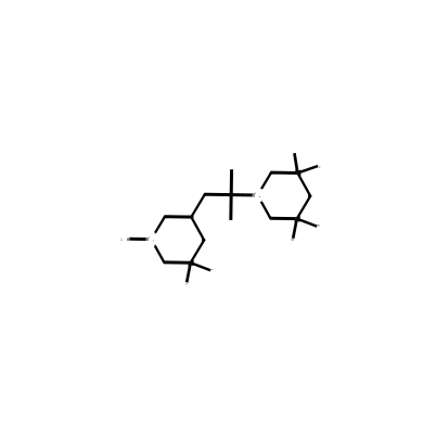 CC(C)(C)N1CC(CC(C)(C)N2CC(F)(F)CC(F)(F)C2)CC(F)(F)C1